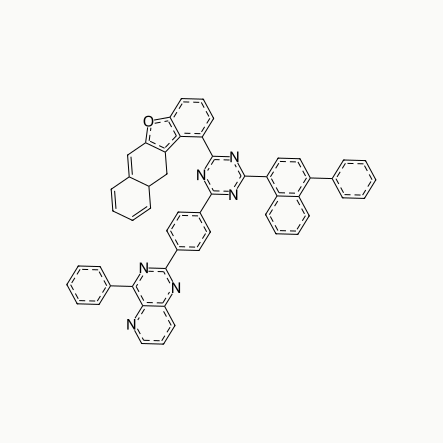 C1=CC2=Cc3oc4cccc(-c5nc(-c6ccc(-c7nc(-c8ccccc8)c8ncccc8n7)cc6)nc(-c6ccc(-c7ccccc7)c7ccccc67)n5)c4c3CC2C=C1